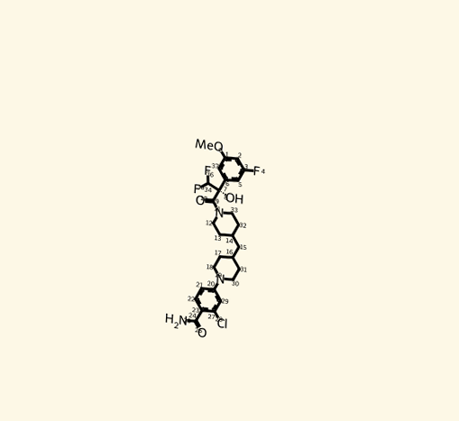 COc1cc(F)cc([C@@](O)(C(=O)N2CCC(CC3CCN(c4ccc(C(N)=O)c(Cl)c4)CC3)CC2)C(F)F)c1